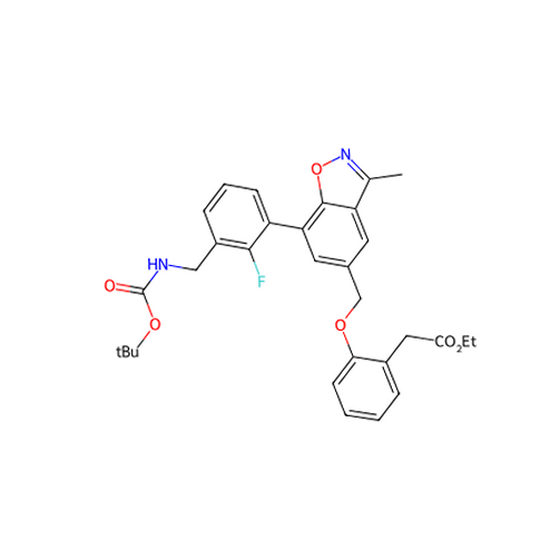 CCOC(=O)Cc1ccccc1OCc1cc(-c2cccc(CNC(=O)OC(C)(C)C)c2F)c2onc(C)c2c1